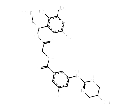 CCOC(=O)C[C@H](NC(=O)CNC(=O)c1cc(O)cc(NC2=NCC(O)CN2)c1)c1cc(Br)cc(C(C)(C)C)c1O